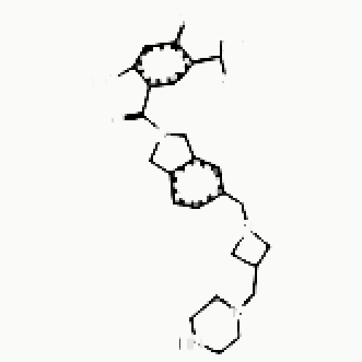 CC(C)c1cc(C(=O)N2Cc3ccc(CN4CC(CN5CCNCC5)C4)cc3C2)c(O)cc1O